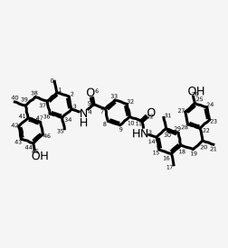 Cc1cc(NC(=O)c2ccc(C(=O)Nc3cc(C)c(CC(C)c4ccc(O)cc4)cc3C)cc2)c(C)cc1CC(C)c1ccc(O)cc1